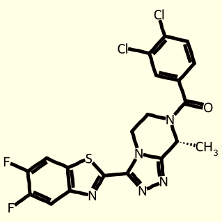 C[C@@H]1c2nnc(-c3nc4cc(F)c(F)cc4s3)n2CCN1C(=O)c1ccc(Cl)c(Cl)c1